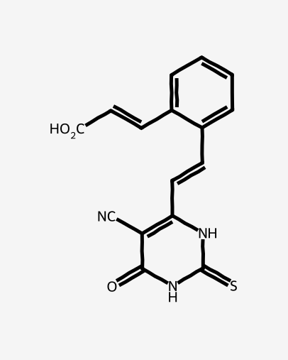 N#Cc1c(C=Cc2ccccc2C=CC(=O)O)[nH]c(=S)[nH]c1=O